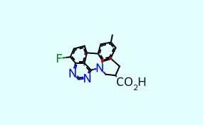 Cc1cccc(-c2ccc(F)c3ncnc(N4CCCC(C(=O)O)C4)c23)c1